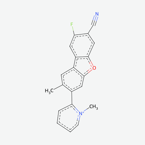 Cc1cc2c(cc1-c1cccc[n+]1C)oc1cc(C#N)c(F)cc12